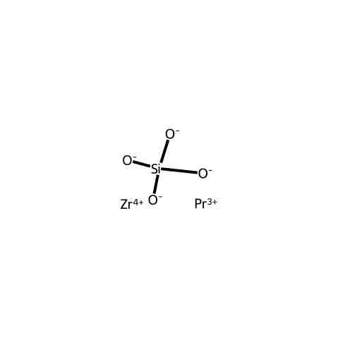 [O-][Si]([O-])([O-])[O-].[Pr+3].[Zr+4]